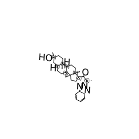 C[C@@H](C(=O)[C@H]1CCC23C[C@]24CC[C@H]2C[C@](C)(O)CC[C@]2(C)[C@H]4CC[C@]13C)n1nc2ccccc2n1